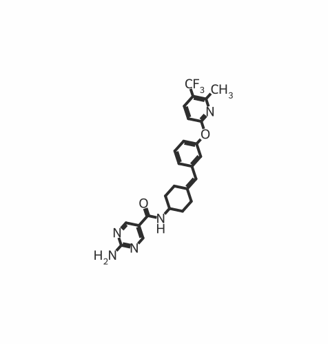 Cc1nc(Oc2cccc(C=C3CCC(NC(=O)c4cnc(N)nc4)CC3)c2)ccc1C(F)(F)F